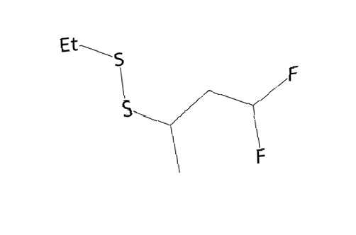 CCSSC(C)CC(F)F